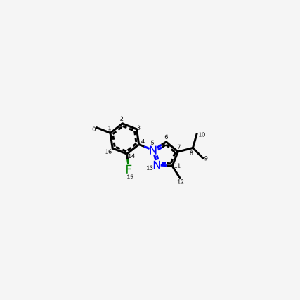 Cc1ccc(-n2cc(C(C)C)c(C)n2)c(F)c1